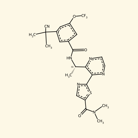 C[C@H](NC(=O)c1cc(OC(F)(F)F)cc(C(C)(C)C#N)c1)c1nccnc1-c1ncc(C(=O)N(C)C)s1